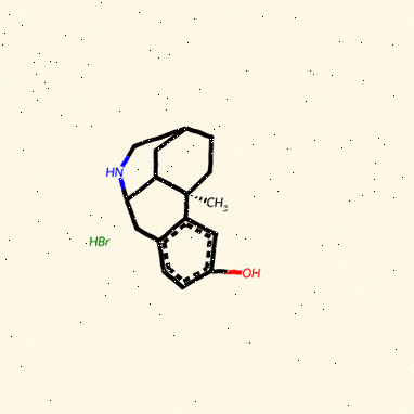 Br.C[C@]12CCC3CNC(Cc4ccc(O)cc41)C2C3